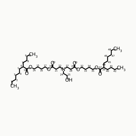 CCCCCCC(CCCC)C(=O)OCCCCOC(=O)CCN(CCO)CCC(=O)OCCCCOC(=O)C(CCCC)CCCCCC